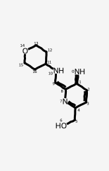 N=C1C=CC(CO)=N/C1=C/NC1CCOCC1